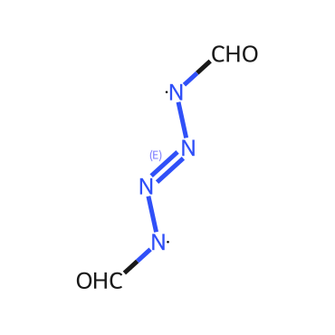 O=C[N]/N=N/[N]C=O